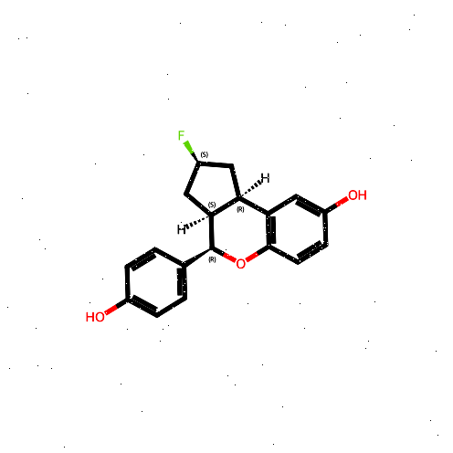 Oc1ccc([C@@H]2Oc3ccc(O)cc3[C@@H]3C[C@H](F)C[C@@H]32)cc1